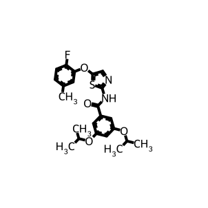 Cc1ccc(F)c(Oc2cnc(NC(=O)c3cc(OC(C)C)cc(OC(C)C)c3)s2)c1